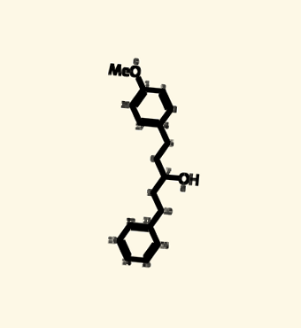 COc1ccc(CCC(O)CCc2ccccc2)cc1